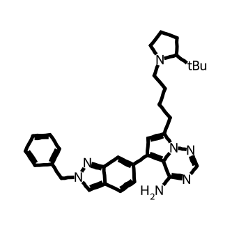 CC(C)(C)C1CCCN1CCCCc1cc(-c2ccc3cn(Cc4ccccc4)nc3c2)c2c(N)ncnn12